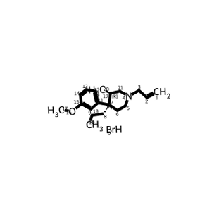 Br.C=CCN1CC[C@@](CCC)(c2cccc(OC)c2)[C@@H](C)C1